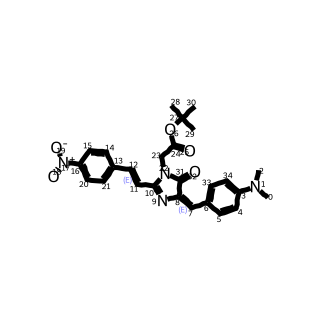 CN(C)c1ccc(/C=C2N=C(/C=C/c3ccc([N+](=O)[O-])cc3)N(CC(=O)OC(C)(C)C)C/2=O)cc1